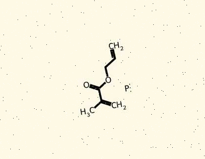 C=CCOC(=O)C(=C)C.[P]